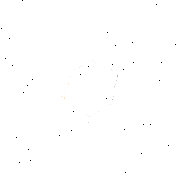 [CH]1CCPCC1